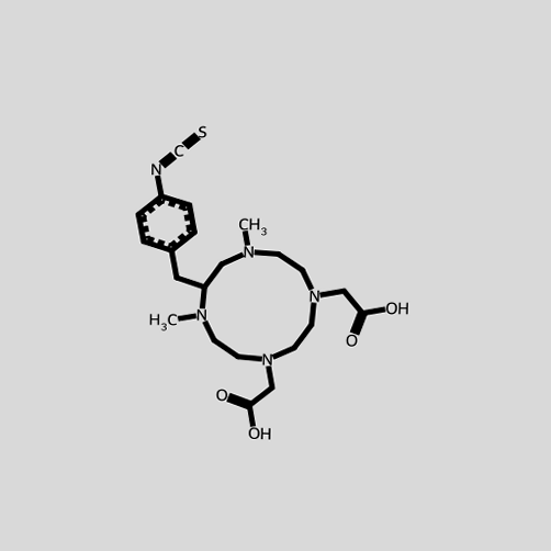 CN1CCN(CC(=O)O)CCN(CC(=O)O)CCN(C)C(Cc2ccc(N=C=S)cc2)C1